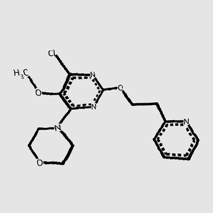 COc1c(Cl)nc(OCCc2ccccn2)nc1N1CCOCC1